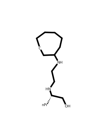 CCC[C@@H](CO)NCCNC1CCCCCCC1